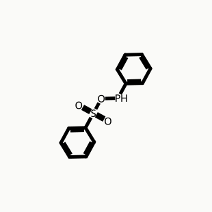 O=S(=O)(OPc1ccccc1)c1ccccc1